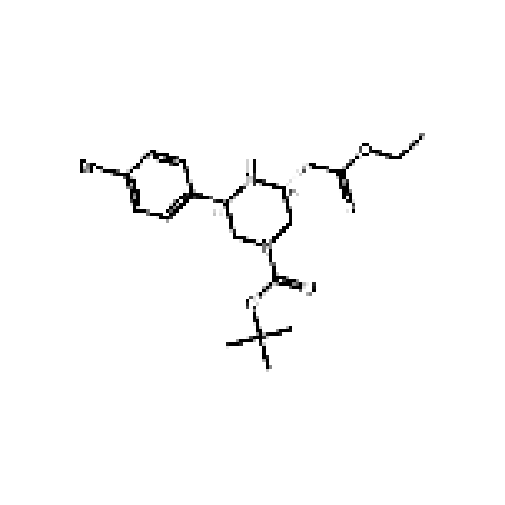 CCOC(=O)C[C@@H]1CN(C(=O)OC(C)(C)C)C[C@@H](c2ccc(Br)cc2)N1